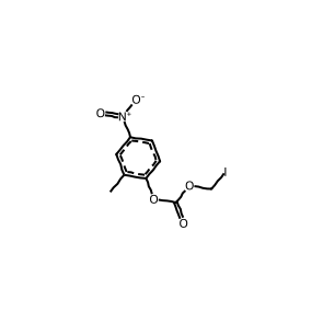 Cc1cc([N+](=O)[O-])ccc1OC(=O)OCI